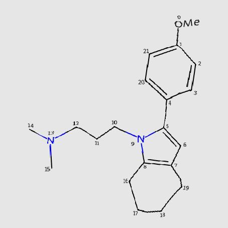 COc1ccc(-c2cc3c(n2CCCN(C)C)CCCC3)cc1